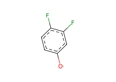 [O]c1ccc(F)c(F)c1